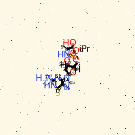 CC(C)OC(O)[C@H](C)NP1(=O)OC[C@H]2O[C@@H](n3cnc4c(=S)[nH]c(N)nc43)C[C@@H]2O1